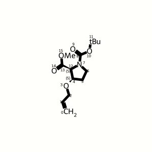 C=CCO[C@H]1CCN(C(=O)OC(C)(C)C)[C@@H]1C(=O)OC